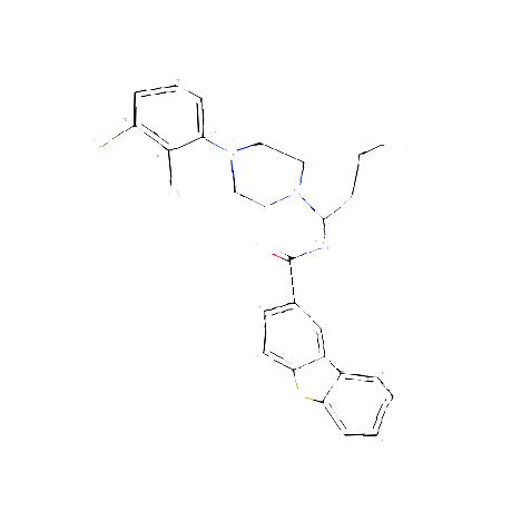 CCCC(NC(=O)c1ccc2sc3ccccc3c2c1)N1CCN(c2cccc(Cl)c2C)CC1.Cl